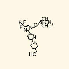 C[Si](C)(C)CCOCn1cc(C(F)(F)F)nc1-c1ccc(N2CCC(CO)CC2)nc1